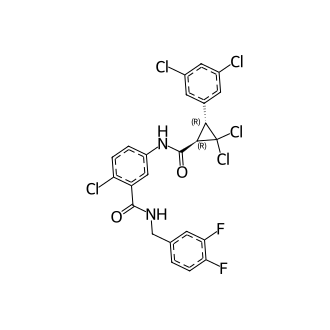 O=C(NCc1ccc(F)c(F)c1)c1cc(NC(=O)[C@H]2[C@H](c3cc(Cl)cc(Cl)c3)C2(Cl)Cl)ccc1Cl